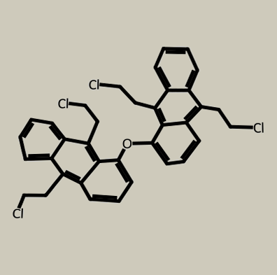 ClCCc1c2ccccc2c(CCCl)c2c(Oc3cccc4c(CCCl)c5ccccc5c(CCCl)c34)cccc12